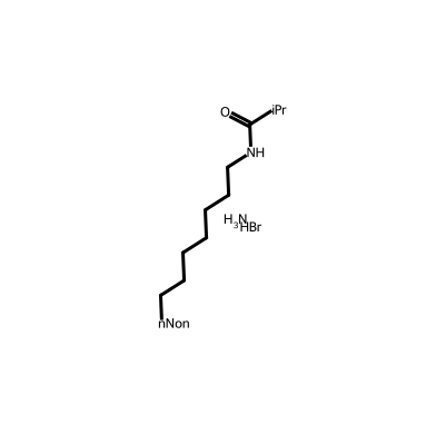 Br.CCCCCCCCCCCCCCCCNC(=O)C(C)C.N